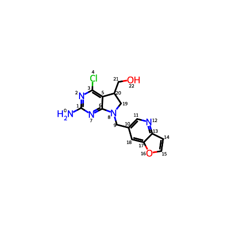 Nc1nc(Cl)c2c(n1)N(Cc1cnc3ccoc3c1)CC2CO